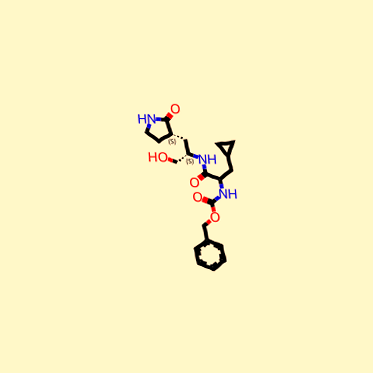 O=C(NC(CC1CC1)C(=O)N[C@H](CO)C[C@@H]1CCNC1=O)OCc1ccccc1